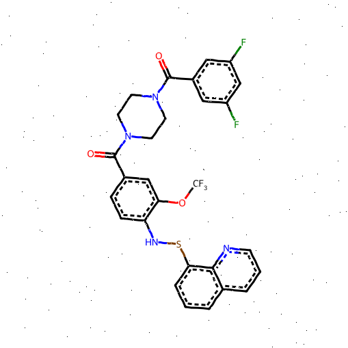 O=C(c1cc(F)cc(F)c1)N1CCN(C(=O)c2ccc(NSc3cccc4cccnc34)c(OC(F)(F)F)c2)CC1